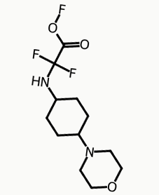 O=C(OF)C(F)(F)NC1CCC(N2CCOCC2)CC1